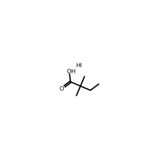 CCC(C)(C)C(=O)O.I